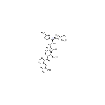 CC(C)(O/N=C(\C(=O)NC1C(=O)N2C(C(=O)O)=C(C(=S)c3ncnc4cc(O)c(O)cc34)CS[C@@H]12)c1csc(N)n1)C(=O)O